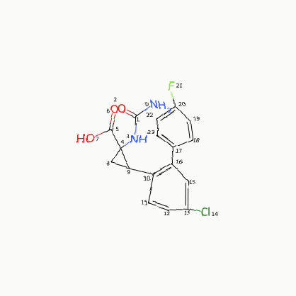 NC(=O)NC1(C(=O)O)CC1c1ccc(Cl)cc1-c1ccc(F)cc1